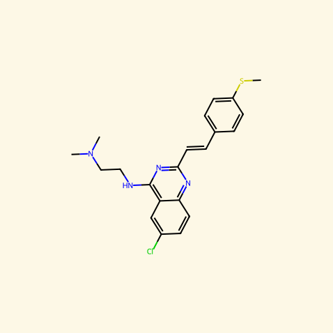 CSc1ccc(C=Cc2nc(NCCN(C)C)c3cc(Cl)ccc3n2)cc1